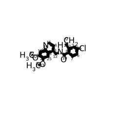 C=Cc1cc(Cl)ccc1C(=O)NCc1ccnc2cc(OC)c(OC)cc12